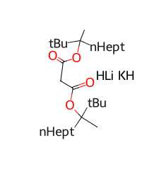 CCCCCCCC(C)(OC(=O)CC(=O)OC(C)(CCCCCCC)C(C)(C)C)C(C)(C)C.[KH].[LiH]